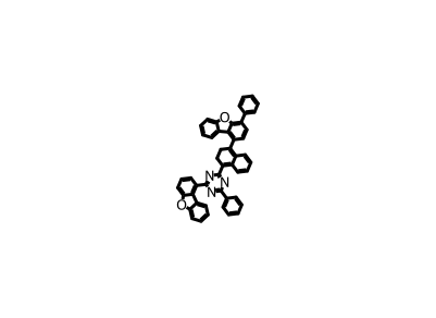 c1ccc(-c2nc(C3=c4ccccc4=C(c4ccc(-c5ccccc5)c5oc6ccccc6c45)CC3)nc(-c3cccc4oc5ccccc5c34)n2)cc1